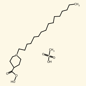 CCCCCCCCCCCCCCCCN1CCC(C(=O)OO)CC1.CS(=O)(=O)O